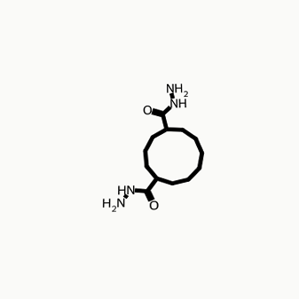 NNC(=O)C1CCCCCCC(C(=O)NN)CCC1